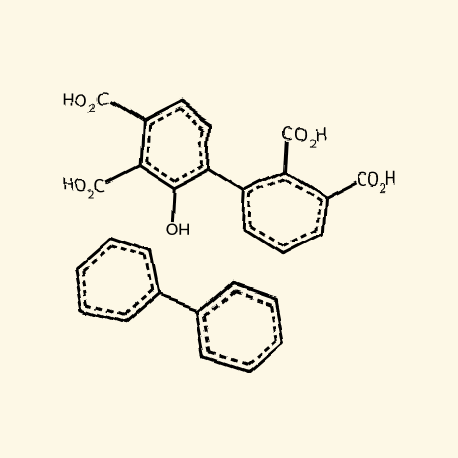 O=C(O)c1cccc(-c2ccc(C(=O)O)c(C(=O)O)c2O)c1C(=O)O.c1ccc(-c2ccccc2)cc1